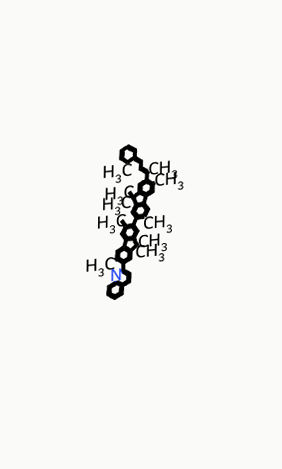 C/C(=C\C=C1\C=CC=CC1C)c1cc2c(cc1C)-c1cc(C)c(-c3cc4c(cc3C)-c3cc(C)c(-c5ccc6ccccc6n5)cc3C4(C)C)cc1C2(C)C